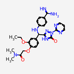 CCOc1cc(C(Nc2ccc(C(=N)N)cc2)c2nn(-c3ncccn3)c(=O)[nH]2)ccc1OCC(=O)N(C)C